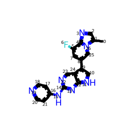 Cc1cnc2c(F)cc(-c3c[nH]c4nc(Nc5ccncc5)ncc34)cn12